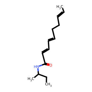 C/C=C/CC/C=C/C=C/C(=O)NC(C)CC